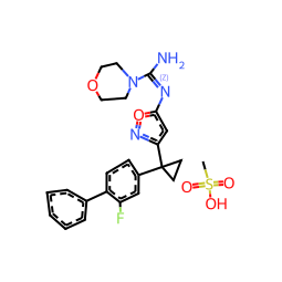 CS(=O)(=O)O.N/C(=N/c1cc(C2(c3ccc(-c4ccccc4)c(F)c3)CC2)no1)N1CCOCC1